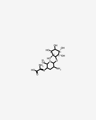 CC1OC(OC2[C@@H](O)[C@@H](O)C(O)[C@H](O)[C@@H]2O)C(N)CC1N=C(N)C(=O)O